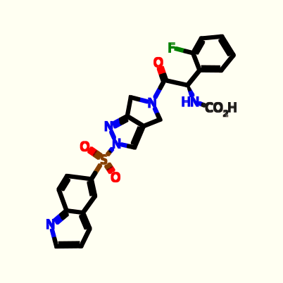 O=C(O)N[C@@H](C(=O)N1Cc2cn(S(=O)(=O)c3ccc4ncccc4c3)nc2C1)c1ccccc1F